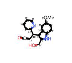 COc1ccc2[nH]c(CO)c(C(C=C=O)c3ccccn3)c2c1